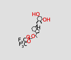 C=C1/C(=C\C=C2/CCC[C@]3(C)C(C(C)OCC(=O)OC(C(F)(F)F)C(F)(F)F)=CC[C@@H]23)C[C@@H](O)C[C@@H]1O